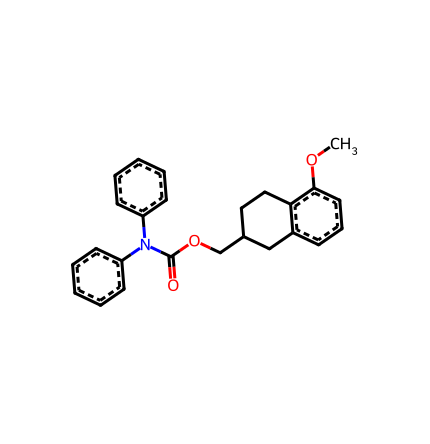 COc1cccc2c1CCC(COC(=O)N(c1ccccc1)c1ccccc1)C2